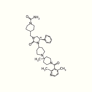 Cc1ccnc(C)c1C(=O)N1CCC(C)(N2CCC(N3C(=O)N(CC4CCN(C(N)=O)CC4)C[C@H]3c3ccccc3)CC2)CC1